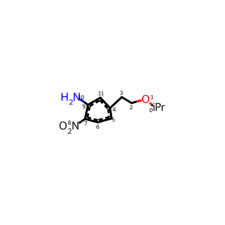 CC(C)OCCc1ccc([N+](=O)[O-])c(N)c1